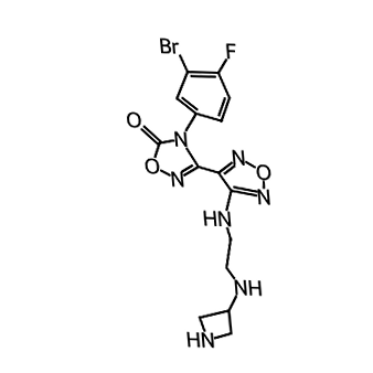 O=c1onc(-c2nonc2NCCNC2CNC2)n1-c1ccc(F)c(Br)c1